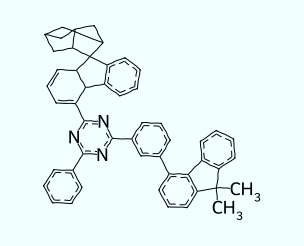 CC1(C)c2ccccc2-c2c(-c3cccc(-c4nc(C5=CC=CC6C5c5ccccc5C65C6CC7CC(C6)C5C7)nc(-c5ccccc5)n4)c3)cccc21